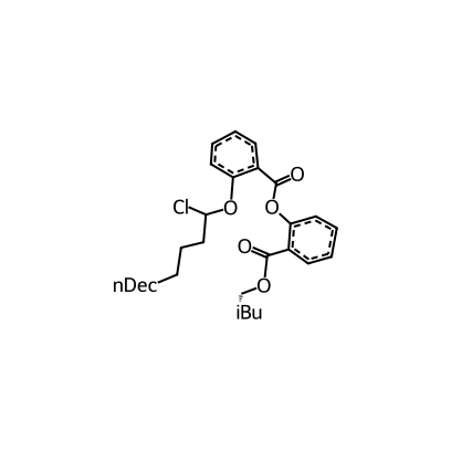 CCCCCCCCCCCCCC(Cl)Oc1ccccc1C(=O)Oc1ccccc1C(=O)OC[C@@H](C)CC